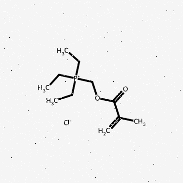 C=C(C)C(=O)OC[P+](CC)(CC)CC.[Cl-]